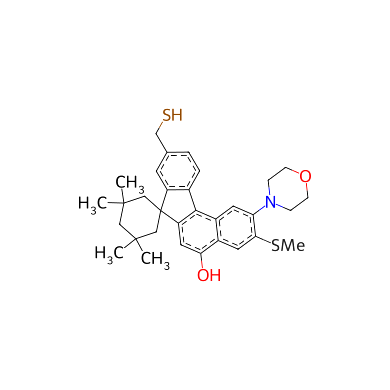 CSc1cc2c(O)cc3c(c2cc1N1CCOCC1)-c1ccc(CS)cc1C31CC(C)(C)CC(C)(C)C1